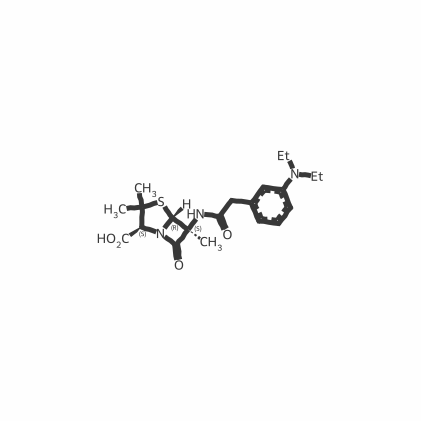 CCN(CC)c1cccc(CC(=O)N[C@@]2(C)C(=O)N3[C@@H](C(=O)O)C(C)(C)S[C@@H]32)c1